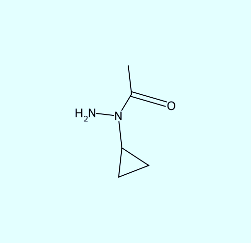 CC(=O)N(N)C1CC1